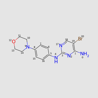 Nc1nc(Nc2ccc(N3CCOCC3)cc2)ncc1Br